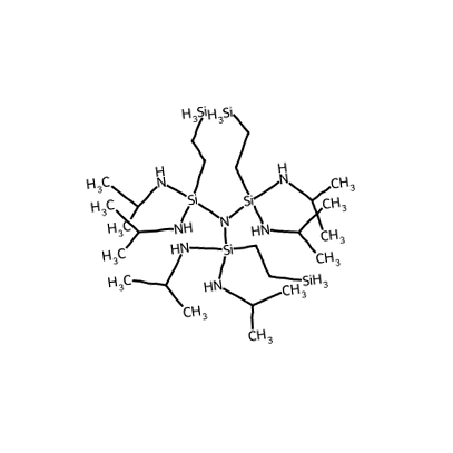 CC(C)N[Si](CC[SiH3])(NC(C)C)N([Si](CC[SiH3])(NC(C)C)NC(C)C)[Si](CC[SiH3])(NC(C)C)NC(C)C